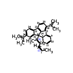 C/C=C\C=C(/C)C1(C2C=CC=CC2C)c2cc(N(C)C)ccc2-c2ccc(N(C)C)cc21